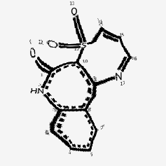 O=c1[nH]c2ccccc2c2c1S(=O)(=O)C=CC=N2